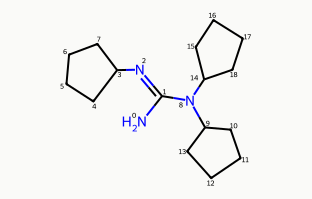 N/C(=N\C1CCCC1)N(C1CCCC1)C1CCCC1